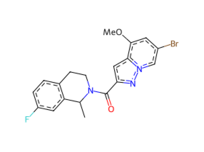 COc1cc(Br)cn2nc(C(=O)N3CCc4ccc(F)cc4C3C)cc12